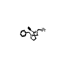 C#CC1N(CC(C)C)CC12CCCN2Cc1ccccc1